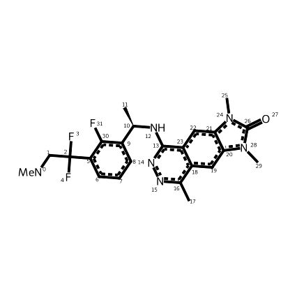 CNCC(F)(F)c1cccc([C@@H](C)Nc2nnc(C)c3cc4c(cc23)n(C)c(=O)n4C)c1F